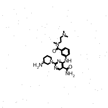 CN(C)CCN(C)C(=O)c1cccc(Nc2nc(N3CCC[C@H](N)C3)ncc2C(N)=O)c1